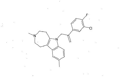 C=C(Cn1c2c(c3cc(C)ccc31)CCN(C)CC2)c1ccc(F)c(Cl)c1